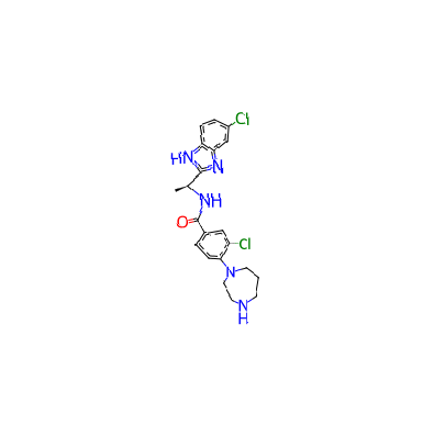 C[C@H](NC(=O)c1ccc(N2CCCNCC2)c(Cl)c1)c1nc2cc(Cl)ccc2[nH]1